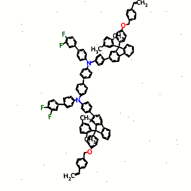 C=Cc1ccc(COc2ccc(C3(c4cc(C)ccc4C)c4ccccc4-c4ccc(-c5ccc(N(c6ccc(-c7ccc(N(c8ccc(-c9ccc(F)c(F)c9)cc8)c8ccc(-c9ccc%10c(c9)C(c9ccc(OCc%11ccc(C=C)cc%11)cc9)(c9cc(C)ccc9C)c9ccccc9-%10)cc8)cc7)cc6)c6ccc(-c7ccc(F)c(F)c7)cc6)cc5)cc43)cc2)cc1